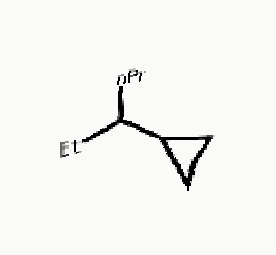 CCCC(CC)C1[CH]C1